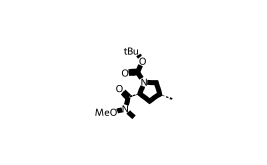 CON(C)C(=O)[C@H]1C[C@@H](C)CN1C(=O)OC(C)(C)C